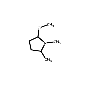 COC1CCC(C)N1C